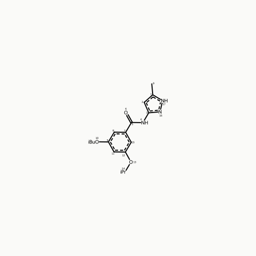 Cc1cc(NC(=O)c2cc(OCC(C)C)cc(OC(C)C)c2)n[nH]1